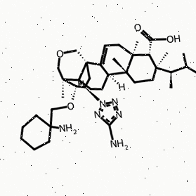 CC(C)[C@@H](C)[C@@]1(C)CC[C@]2(C)[C@H]3CC[C@@H]4[C@@]5(COC[C@]4(C)[C@@H](OCC4(N)CCCCC4)[C@H](n4nnc(N)n4)C5)C3=CC[C@@]2(C)[C@@H]1C(=O)O